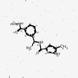 Cc1cc(C(=O)NC(C)c2cccc(C(=O)NO)c2)n[nH]1